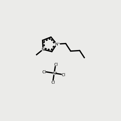 CCCC[n+]1ccn(C)c1.Cl[N+](Cl)(Cl)Cl